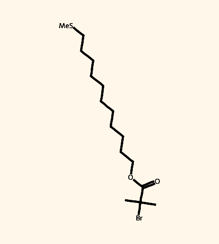 CSCCCCCCCCCCCOC(=O)C(C)(C)Br